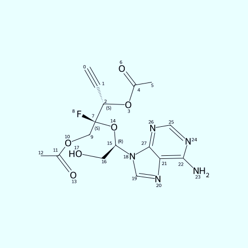 C#C[C@H](OC(C)=O)[C@@](F)(COC(C)=O)O[C@H](CO)n1cnc2c(N)ncnc21